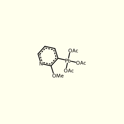 COc1nccc[c]1[Pb]([O]C(C)=O)([O]C(C)=O)[O]C(C)=O